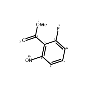 COC(=O)c1c(F)cccc1N=O